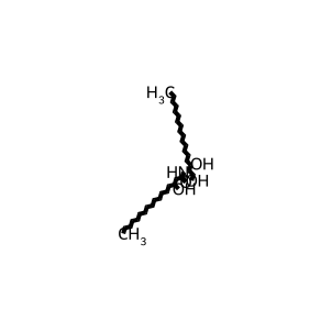 CCCCCCCCCCCCCCCC(O)C(CO)NC(=O)CC(O)CCCCCCCCCCCCCC